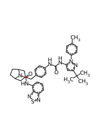 Cc1ccc(-n2nc(C(C)(C)C)cc2NC(=O)Nc2ccc(CC3CC4CCC(C3)N4C(=O)Nc3cccc4nsnc34)cc2)cc1